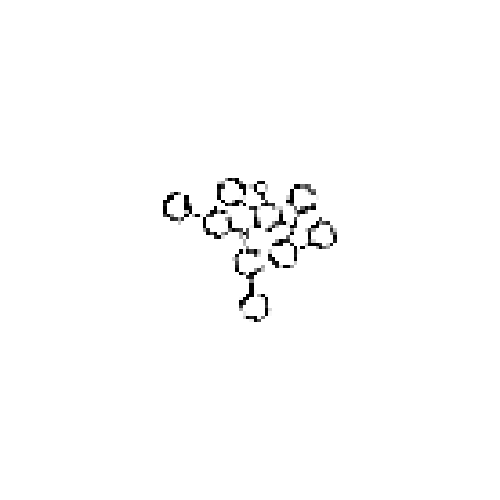 c1ccc(-c2ccc(N(c3ccc(-c4ccccc4)cc3)c3cc(C4(c5ccccc5)c5ccccc5-c5ccccc54)cc4oc5ccccc5c34)cc2)cc1